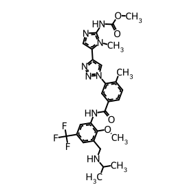 COC(=O)Nc1ncc(-c2cn(-c3cc(C(=O)Nc4cc(C(F)(F)F)cc(CNC(C)C)c4OC)ccc3C)nn2)n1C